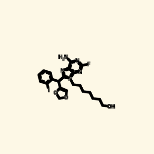 Nc1nc(F)nc2c1nc(C(C1=COCO1)c1ccccc1I)n2CCCCCCCO